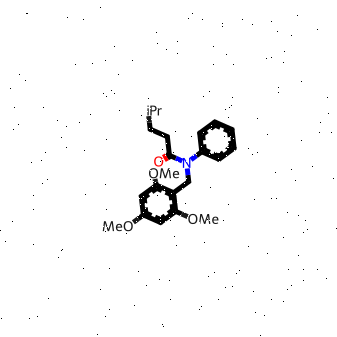 COc1cc(OC)c(CN(C(=O)CCC(C)C)c2ccccc2)c(OC)c1